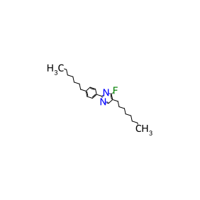 CCCCCCCCc1cnc(-c2ccc(CCCCCCC)cc2)nc1F